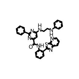 O=C(Nc1ccccc1-c1nc2cccnc2s1)c1cc(NCCNc2ccccc2)nc(-c2ccccc2)n1